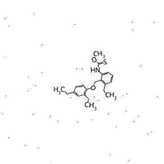 CCc1ccc(OCc2c(CC)cccc2NC(=S)OC)c(CC)c1